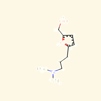 CN(C)CCCc1ccc(CO)o1